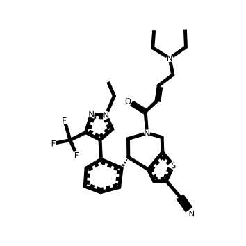 CCN(CC)C/C=C/C(=O)N1Cc2sc(C#N)cc2[C@H](c2ccccc2-c2cn(CC)nc2C(F)(F)F)C1